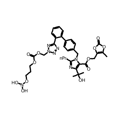 CCCc1nc(C(C)(C)O)c(C(=O)OCc2oc(=O)oc2C)n1Cc1ccc(-c2ccccc2-c2nnn(COC(=O)OCCCON(O)O)n2)cc1